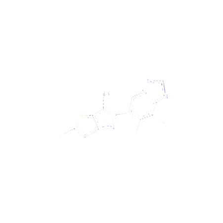 Cc1c(-c2[nH]c3cc(Br)sc3c2C(C)C)cn2ncnc2c1C